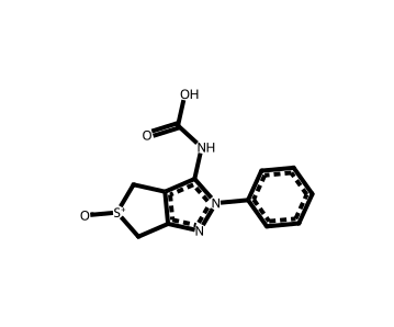 O=C(O)Nc1c2c(nn1-c1ccccc1)C[S+]([O-])C2